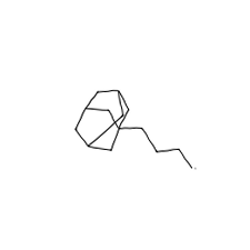 [CH2]CCCC12CC3CC(CC(C3)C1)C2